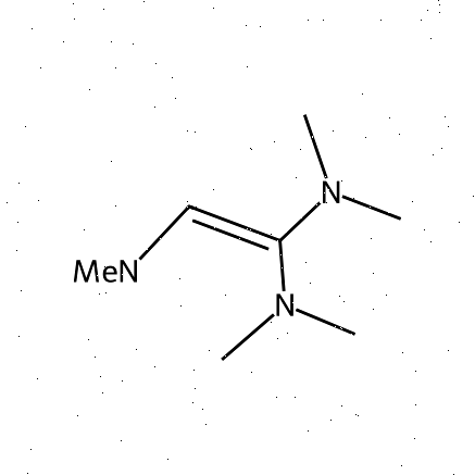 CNC=C(N(C)C)N(C)C